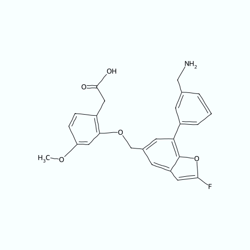 COc1ccc(CC(=O)O)c(OCc2cc(-c3cccc(CN)c3)c3oc(F)cc3c2)c1